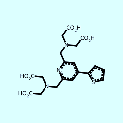 O=C(O)CN(CC(=O)O)Cc1cc(-c2cccs2)cc(CN(CC(=O)O)CC(=O)O)n1